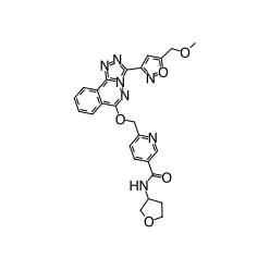 COCc1cc(-c2nnc3c4ccccc4c(OCc4ccc(C(=O)NC5CCOC5)cn4)nn23)no1